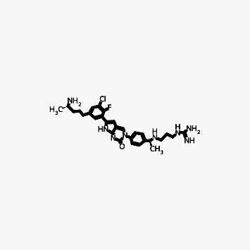 C[C@H](N)CCCc1cc(Cl)c(F)c(-c2cc3cn(-c4ccc([C@H](C)NCCCNC(=N)N)cc4)c(=O)nc3[nH]2)c1